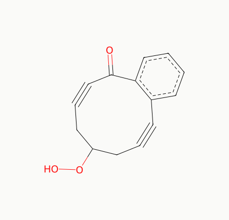 O=C1C#CCC(OO)CC#Cc2ccccc21